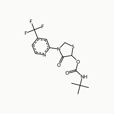 CC(C)(C)NC(=O)OC1SCN(c2cc(C(F)(F)F)ccn2)C1=O